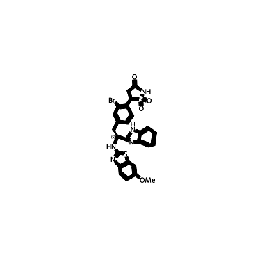 COc1ccc2nc(N[C@@H](Cc3ccc(C4CC(=O)NS4(=O)=O)c(Br)c3)c3nc4ccccc4[nH]3)sc2c1